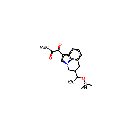 COC(=O)C(=O)c1cn2c3c(cccc13)CC(C(O[SiH](C)C)C(C)(C)C)C2